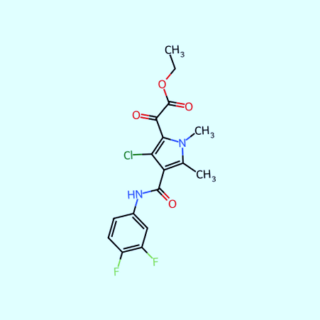 CCOC(=O)C(=O)c1c(Cl)c(C(=O)Nc2ccc(F)c(F)c2)c(C)n1C